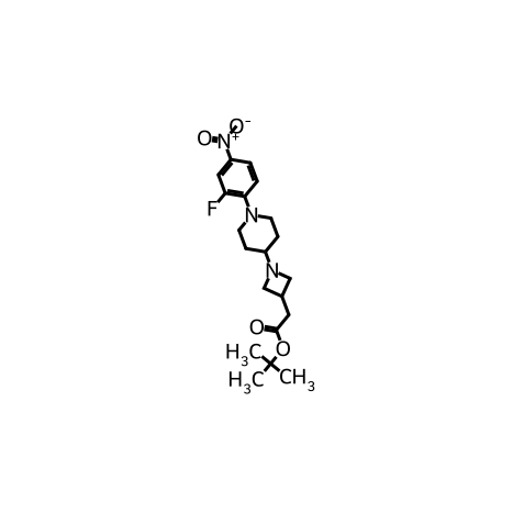 CC(C)(C)OC(=O)CC1CN(C2CCN(c3ccc([N+](=O)[O-])cc3F)CC2)C1